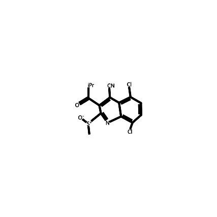 CC(C)C(=O)c1c([S+](C)[O-])nc2c(Cl)ccc(Cl)c2c1C#N